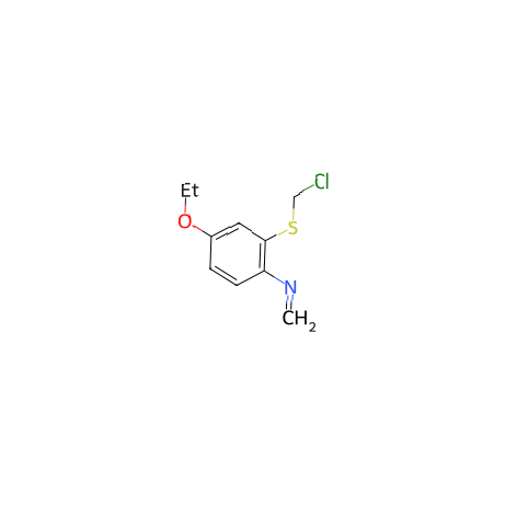 C=Nc1ccc(OCC)cc1SCCl